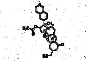 CC(=O)OC1C[C@H]2[C@@H]3OC4=C(C=C3CC[C@]2(C)[C@H]1c1ccc2cnccc2c1)C(=O)CC(CO)C4